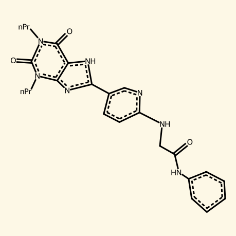 CCCn1c(=O)c2[nH]c(-c3ccc(NCC(=O)Nc4ccccc4)nc3)nc2n(CCC)c1=O